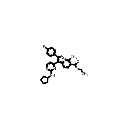 CCOC(=O)c1ccc2c(-c3ccnc(NC4CCCC4)n3)c(-c3ccc(F)cc3)nn2c1C